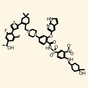 C[C@H](O)c1cc(F)c(-c2csc(C3=C(CN4CCN(c5ccc(C(=O)NS(=O)(=O)c6ccc(NCC7CCC(C)(O)CC7)c([N+](=O)[O-])c6)c(Oc6cnc7[nH]ccc7c6)c5)CC4)CCC(C)(C)C3)c2)c(F)c1